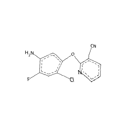 N#Cc1cccnc1Oc1cc(N)c(F)cc1Cl